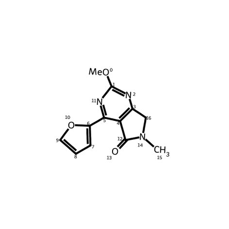 COc1nc2c(c(-c3ccco3)n1)C(=O)N(C)C2